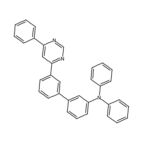 c1ccc(-c2cc(-c3cccc(-c4cccc(N(c5ccccc5)c5ccccc5)c4)c3)ncn2)cc1